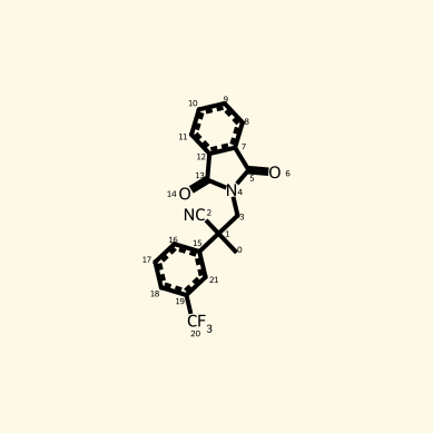 CC(C#N)(CN1C(=O)c2ccccc2C1=O)c1cccc(C(F)(F)F)c1